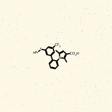 CCCSc1cc(-c2ccccc2-n2c(C)cc(C(=O)O)c2C)cc(C(F)(F)F)c1